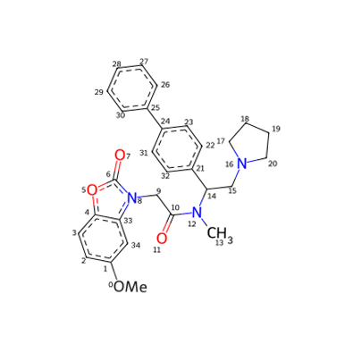 COc1ccc2oc(=O)n(CC(=O)N(C)C(CN3CCCC3)c3ccc(-c4ccccc4)cc3)c2c1